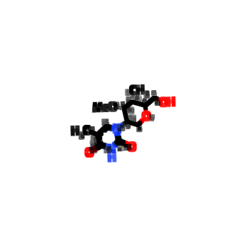 CO[C@@H]1[C@H](C)C(CO)OC[C@H]1n1cc(C)c(=O)[nH]c1=O